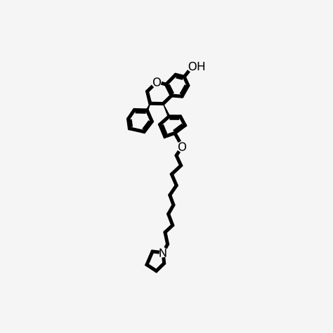 Oc1ccc2c(c1)OC[C@H](c1ccccc1)[C@@H]2c1ccc(OCCCCCCCCCCN2CCCC2)cc1